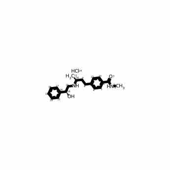 CNC(=O)c1ccc(CC[C@H](C)NC[C@H](O)c2ccccc2)cc1.Cl